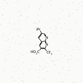 CC(C)c1cnc2nc(C(F)(F)F)c(C(=O)O)cc2c1